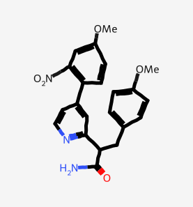 COc1ccc(CC(C(N)=O)c2cc(-c3ccc(OC)cc3[N+](=O)[O-])ccn2)cc1